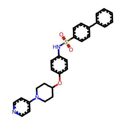 O=S(=O)(Nc1ccc(OC2CCN(c3ccncc3)CC2)cc1)c1ccc(-c2ccccc2)cc1